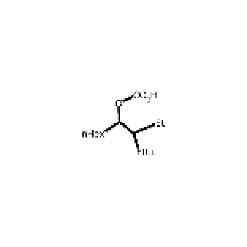 CCCCCCC(OC(=O)O)C(CC)CCCC